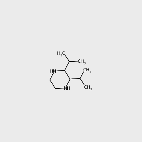 CC(C)C1NCCNC1C(C)C